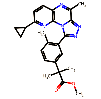 COC(=O)C(C)(C)c1ccc(C)c(-c2nnc3c(C)nc4ccc(C5CC5)nc4n23)c1